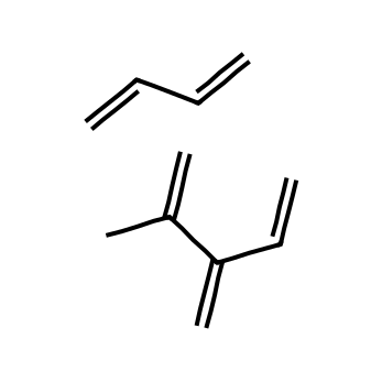 C=CC(=C)C(=C)C.C=CC=C